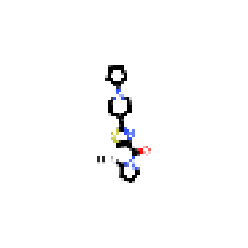 CC1CCCN1C(=O)c1csc(C2CCN(C3CCCC3)CC2)n1